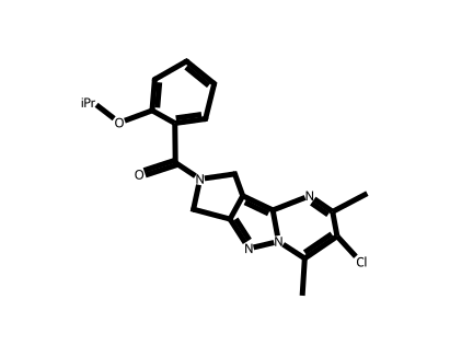 Cc1nc2c3c(nn2c(C)c1Cl)CN(C(=O)c1ccccc1OC(C)C)C3